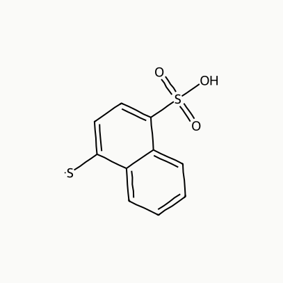 O=S(=O)(O)c1ccc([S])c2ccccc12